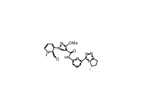 COc1nn(C2=CC=CN(C)C2=C=O)cc1C(=O)Nc1cccc(-c2nnc3n2[C@@H](C)CC3)n1